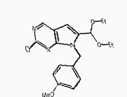 CCOC(OCC)c1cc2cnc(Cl)nc2n1Cc1ccc(OC)cc1